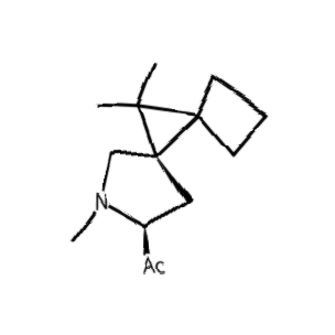 CC(=O)[C@@H]1C[C@@]2(CN1C)C(C)(C)C21CCC1